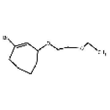 CCOCCOC1C=C(Br)CCCC1